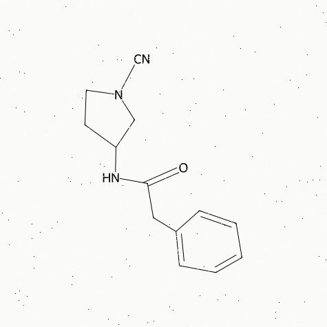 N#CN1CCC(NC(=O)Cc2ccccc2)C1